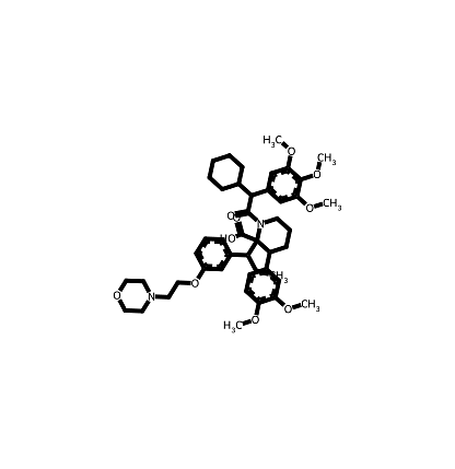 CCC(c1cccc(OCCN2CCOCC2)c1)C1(C(=O)O)C(c2ccc(OC)c(OC)c2)CCCN1C(=O)C(c1cc(OC)c(OC)c(OC)c1)C1CCCCC1